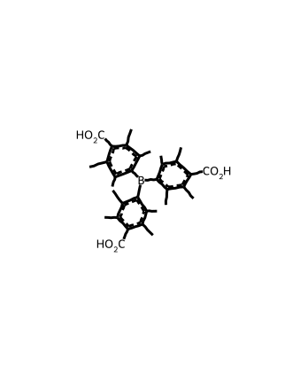 Cc1c(C)c(C(=O)O)c(C)c(C)c1B(c1c(C)c(C)c(C(=O)O)c(C)c1C)c1c(C)c(C)c(C(=O)O)c(C)c1C